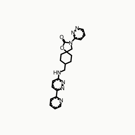 O=C1OC2(CCC(CNc3ccc(-c4ccccn4)nn3)CC2)CN1c1cccnn1